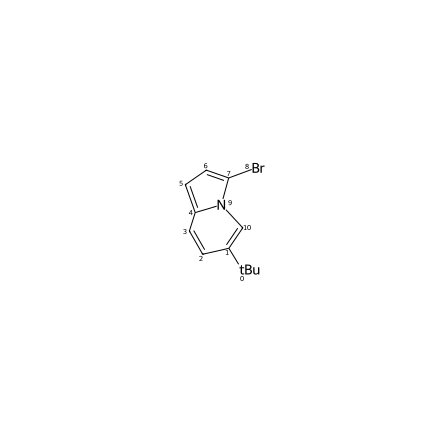 CC(C)(C)c1ccc2ccc(Br)n2c1